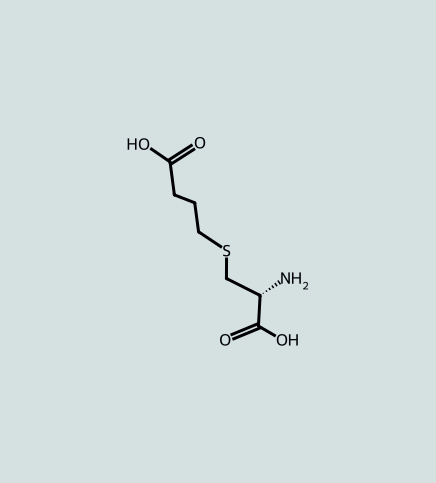 N[C@@H](CSCCCC(=O)O)C(=O)O